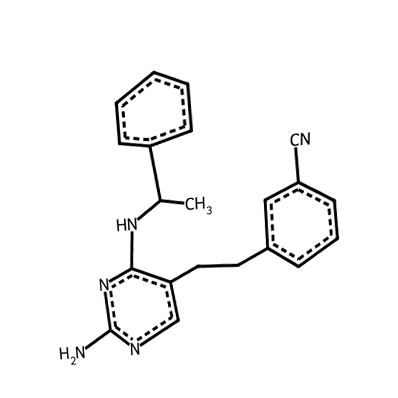 CC(Nc1nc(N)ncc1CCc1cccc(C#N)c1)c1ccccc1